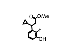 COC(=O)CC(c1cccc(O)c1F)C1CC1